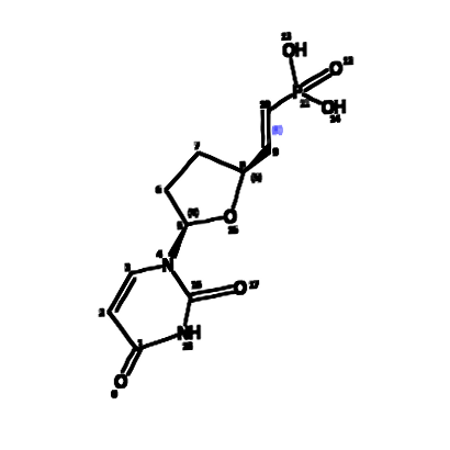 O=c1ccn([C@H]2CC[C@@H](/C=C/P(=O)(O)O)O2)c(=O)[nH]1